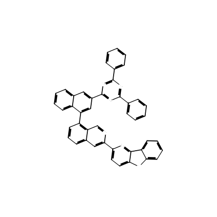 c1ccc(-c2nc(-c3ccccc3)nc(-c3cc(-c4cccc5cc(-c6ccc7sc8ccccc8c7n6)ncc45)c4ccccc4c3)n2)cc1